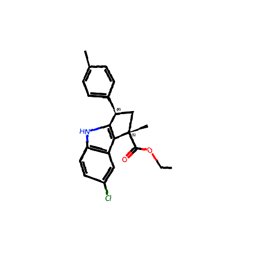 CCOC(=O)[C@@]1(C)C[C@H](c2ccc(C)cc2)c2[nH]c3ccc(Cl)cc3c21